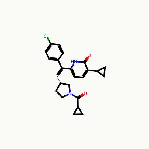 O=C(C1CC1)N1CC[C@H](C=C(c2ccc(Cl)cc2)c2ccc(C3CC3)c(=O)[nH]2)C1